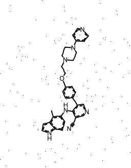 Cc1c(Nc2c(C#N)cncc2-c2ccc(OCCN3CCN(c4ccncc4)CC3)cc2)ccc2[nH]ccc12